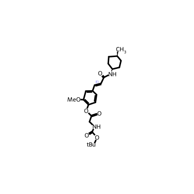 COc1cc(/C=C/C(=O)N[C@H]2CC[C@H](C)CC2)ccc1OC(=O)CNC(=O)OC(C)(C)C